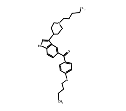 CCCCCN1CCC(c2c[nH]c3ccc(C(=O)c4ccc(OCCCC)cc4)cc23)CC1